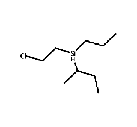 CCC[SiH](CCCl)C(C)CC